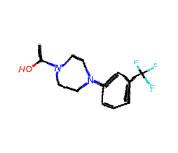 CC(O)N1CCN(c2cccc(C(F)(F)F)c2)CC1